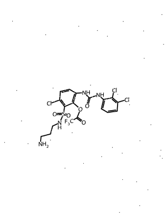 NCCCNS(=O)(=O)c1c(Cl)ccc(NC(=O)Nc2cccc(Cl)c2Cl)c1OC(=O)C(F)(F)F